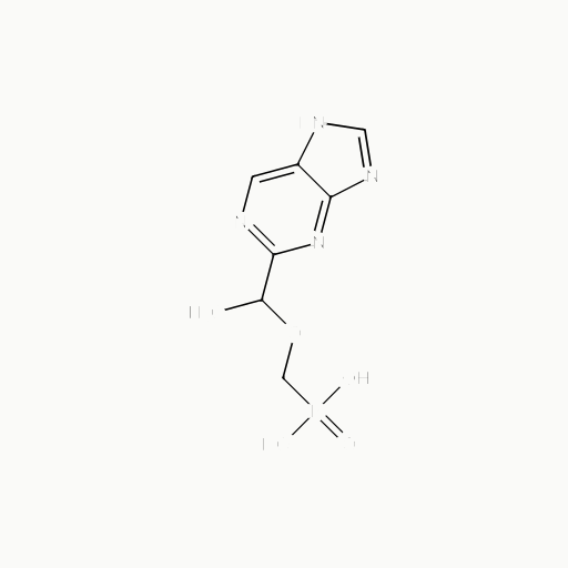 CC(OCP(=O)(O)O)c1ncc2[nH]cnc2n1